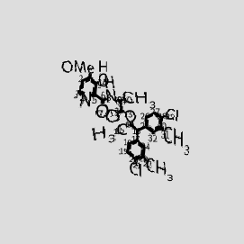 COc1ccnc(C(=O)N[C@@H](C)C(=O)O[C@@H](C)C(c2ccc(Cl)c(C)c2)c2ccc(Cl)c(C)c2)c1O